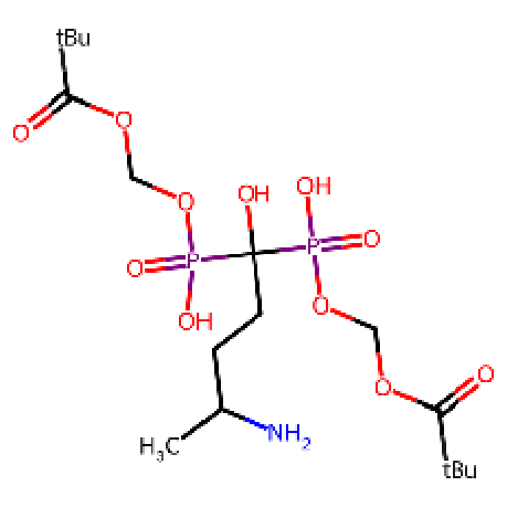 CC(N)CCC(O)(P(=O)(O)OCOC(=O)C(C)(C)C)P(=O)(O)OCOC(=O)C(C)(C)C